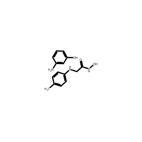 Cc1ccc(NCC(=O)NO)cc1.Nc1cccc(O)c1